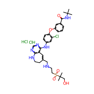 CC(C)(C)NC(=O)c1cccc(Oc2ccc(Nc3ncnc4c3C=C(CNCCS(=O)(=O)C(C)(C)CO)CCN4)cc2Cl)c1.Cl.Cl